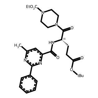 CCOC(=O)N1CCN(C(=O)[C@H](CCC(=O)OC(C)(C)C)NC(=O)c2cc(C)nc(-c3ccccc3)n2)CC1